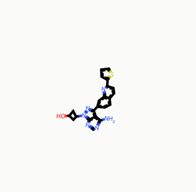 Nc1ncnc2c1c(-c1ccc3ccc(-c4cccs4)nc3c1)nn2C1CC(O)C1